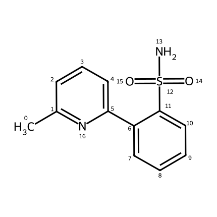 Cc1cccc(-c2ccccc2S(N)(=O)=O)n1